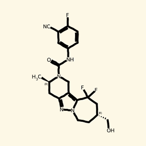 C[C@@H]1Cc2nn3c(c2CN1C(=O)Nc1ccc(F)c(C#N)c1)C(F)(F)C[C@H](CO)CC3